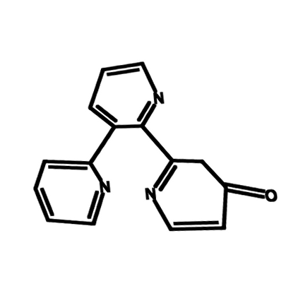 O=C1C=CN=C(c2ncccc2-c2ccccn2)C1